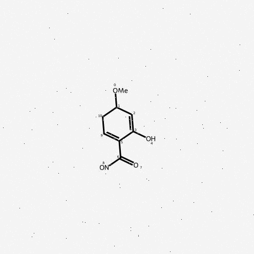 COC1C=C(O)C(C(=O)N=O)=CC1